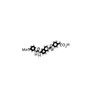 CSc1cccc(NC(=O)Nc2ccc3c(c2)CCN(C(=O)OC2CCC(CC(=O)O)CC2)C3)c1